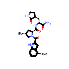 COc1cccc2[nH]c(C(=O)N3C[C@H](C(C)(C)C)C[C@H]3C(=O)N[C@@H](C[C@@H]3CCNC3=O)C(N)=O)cc12